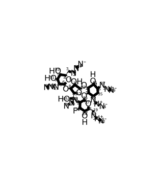 [N-]=[N+]=NC[C@@H]1O[C@H](O[C@H]2[C@@H](O)[C@H](O[C@H]3[C@H](O[C@H]4O[C@H](CN=[N+]=[N-])[C@@H](O)[C@@H](F)C4N=[N+]=[N-])C(N=[N+]=[N-])CC(N=[N+]=[N-])[C@@H]3O)O[C@@H]2CO)C(N=[N+]=[N-])[C@@H](O)[C@@H]1O